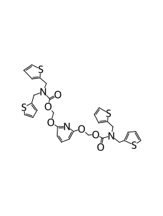 O=C(OCOc1cccc(OCOC(=O)N(Cc2cccs2)Cc2cccs2)n1)N(Cc1cccs1)Cc1cccs1